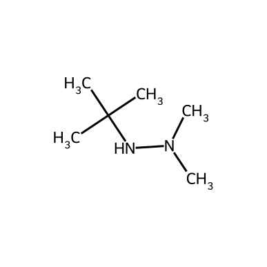 CN(C)NC(C)(C)C